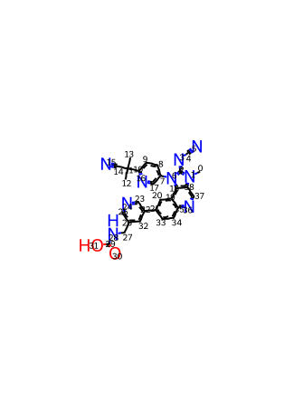 Cn1c(=NC#N)n(-c2ccc(C(C)(C)C#N)nc2)c2c3cc(-c4cncc(CNC(=O)O)c4)ccc3ncc21